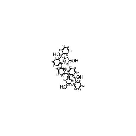 OC1C[C@@H](C(O)(c2ccccc2)c2ccccc2)N(Cc2cccc(CN3CC(O)C[C@H]3C(O)(c3ccccc3)c3ccccc3)n2)C1